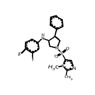 Cc1ncc(S(=O)(=O)N2CC(Nc3ccc(F)c(F)c3)C(c3ccccc3)C2)n1C